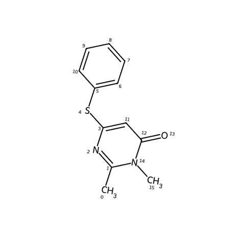 Cc1nc(Sc2ccccc2)cc(=O)n1C